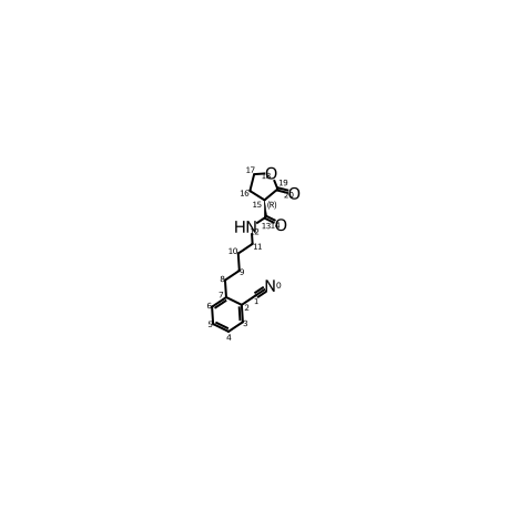 N#Cc1ccccc1CCCCNC(=O)[C@H]1CCOC1=O